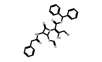 O=CSC1C(NC(=O)Cc2ccccc2)C(=O)N1C(C(=O)OC(c1ccccc1)c1ccccc1)=C(O)CBr